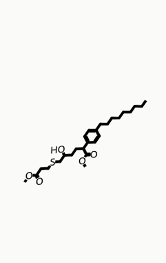 CCCCCCCCCc1ccc(C(CCC(O)CSCCC(=O)OC)C(=O)OC)cc1